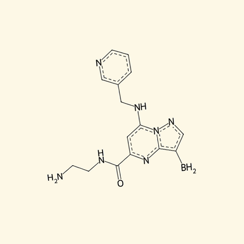 Bc1cnn2c(NCc3cccnc3)cc(C(=O)NCCN)nc12